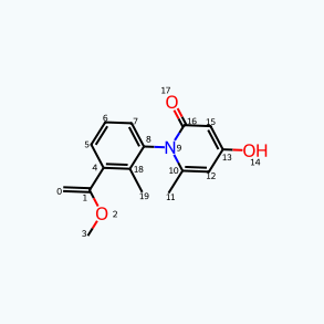 C=C(OC)c1cccc(-n2c(C)cc(O)cc2=O)c1C